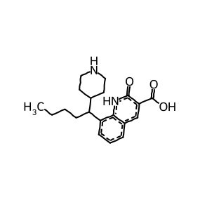 CCCCC(c1cccc2cc(C(=O)O)c(=O)[nH]c12)C1CCNCC1